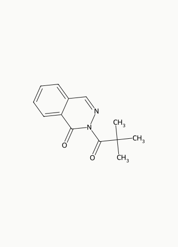 CC(C)(C)C(=O)n1ncc2ccccc2c1=O